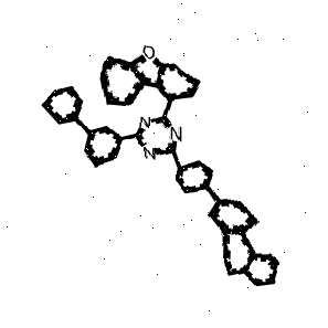 c1ccc(-c2cccc(-c3nc(-c4ccc(-c5ccc6c(ccc7ccccc76)c5)cc4)nc(-c4cccc5oc6ccccc6c45)n3)c2)cc1